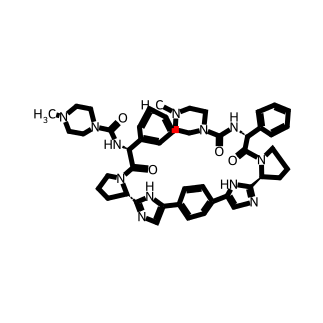 CN1CCN(C(=O)N[C@@H](C(=O)N2CCC[C@H]2c2ncc(-c3ccc(-c4cnc([C@@H]5CCCN5C(=O)[C@H](NC(=O)N5CCN(C)CC5)c5ccccc5)[nH]4)cc3)[nH]2)c2ccccc2)CC1